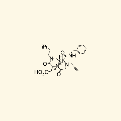 C#CCN1CC(=O)N2[C@@H](CC(=O)O)C(=O)N(CCC(C)C)C[C@@H]2N1C(=O)NCc1ccccc1